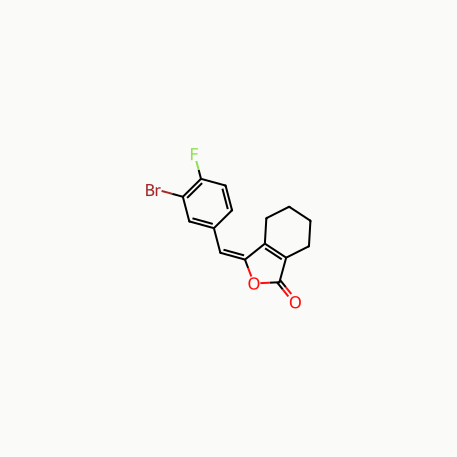 O=C1O/C(=C/c2ccc(F)c(Br)c2)C2=C1CCCC2